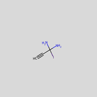 C#CC(N)(N)I